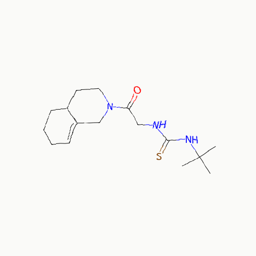 CC(C)(C)NC(=S)NCC(=O)N1CCC2CCCC=C2C1